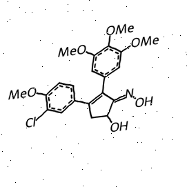 COc1ccc(C2=C(c3cc(OC)c(OC)c(OC)c3)C(=NO)C(O)C2)cc1Cl